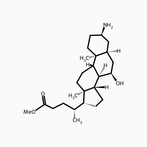 COC(=O)CC[C@@H](C)[C@H]1CC[C@H]2[C@@H]3[C@H](O)C[C@@H]4C[C@H](N)CC[C@]4(C)[C@H]3CC[C@]12C